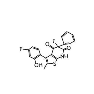 Cc1sc2c(c1-c1ccc(F)cc1O)C(=O)C(F)(c1ccccc1)C(=O)N2